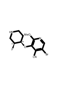 COc1ncc(Br)c(C#N)c1O[C@@H]1CCNC[C@@H]1F